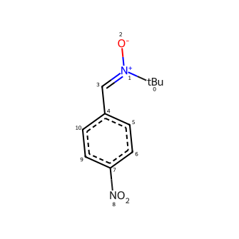 CC(C)(C)/[N+]([O-])=C\c1ccc([N+](=O)[O-])cc1